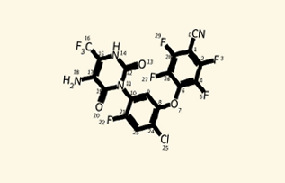 N#Cc1c(F)c(F)c(Oc2cc(-n3c(=O)[nH]c(C(F)(F)F)c(N)c3=O)c(F)cc2Cl)c(F)c1F